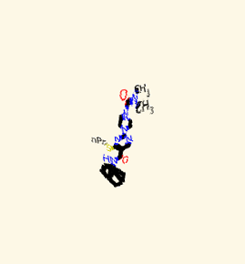 CCCSc1nc(N2CCN(C(=O)N(C)C)CC2)ncc1C(=O)NC1C2CC3CC(C2)CC1C3